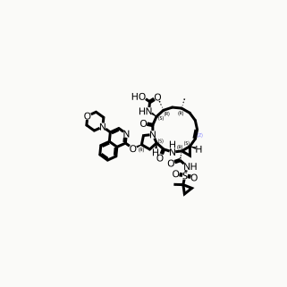 C[C@@H]1CC/C=C\[C@@H]2C[C@@]2(C(=O)NS(=O)(=O)C2(C)CC2)NC(=O)[C@@H]2C[C@@H](Oc3ncc(N4CCOCC4)c4ccccc34)CN2C(=O)[C@@H](NC(=O)O)[C@H](C)C1